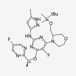 Cc1cc(Nc2nc(O[C@@H](C)c3ncc(F)cn3)c(F)c(N3CCOCC3CO[Si](C)(C)C(C)(C)C)n2)n[nH]1